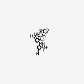 C[C@@]1(c2cccc(Nc3ccc(C#N)cc3OC(F)F)c2Cl)CC(=O)N(C2CCOCC2)C(=N)N1